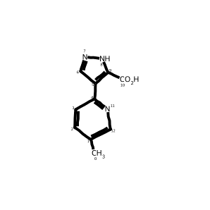 Cc1ccc(-c2cn[nH]c2C(=O)O)nc1